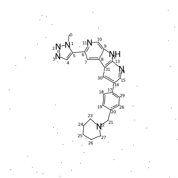 Cn1nncc1-c1cc2c(cn1)[nH]c1ncc(-c3ccc(CN4CCCCC4)cc3)cc12